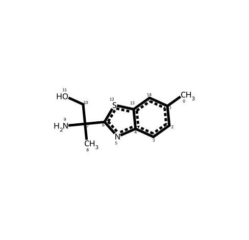 Cc1ccc2nc(C(C)(N)CO)sc2c1